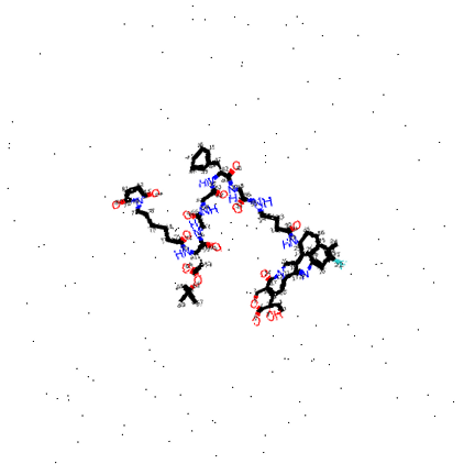 CC[C@@]1(O)C(=O)OCc2c1cc1n(c2=O)Cc2c-1nc1cc(F)c(C)c3c1c2[C@@H](NC(=O)CCCNC(=O)CNC(=O)[C@H](Cc1ccccc1)NC(=O)CNC(=O)CNC(=O)[C@H](CC(=O)OC(C)(C)C)NC(=O)CCCCCN1C(=O)C=CC1=O)CC3